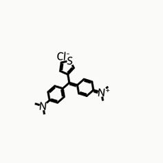 CN(C)c1ccc(C(=C2C=CC(=[N+](C)C)C=C2)c2ccsc2)cc1.[Cl-]